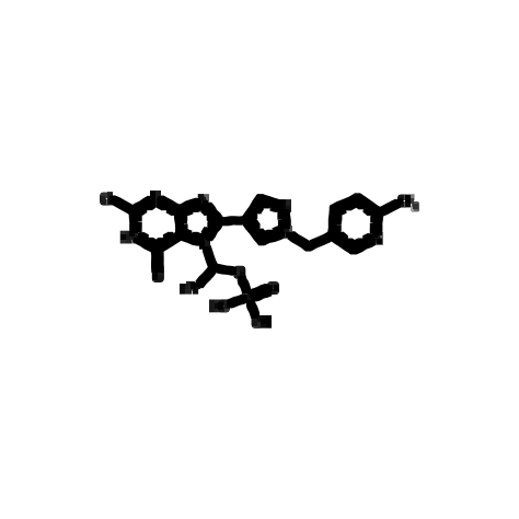 CCCC(OP(=O)(O)O)n1c(-c2cnn(Cc3ccc(C(F)(F)F)nc3)c2)nc2nc(Cl)[nH]c(=O)c21